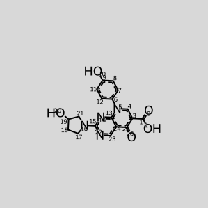 O=C(O)c1cn(-c2ccc(O)cc2)c2nc(N3CCC(O)C3)ncc2c1=O